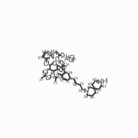 CC(=O)OC[C@@]1(C(C)C)O[C@@H](Oc2cc[nH]n2)[C@H](OC(C)=O)[C@@H](OC(C)=O)[C@]1(Cc1ccc(/C=C/CCN2CCCC3(CCNCC3)C2)cc1C)OC(C)=O.Cl.Cl